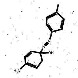 Cc1ccc(N=NC2(O)C=CC(N)=CC2)cc1